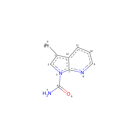 CC(C)c1cn(C(N)=O)c2ncccc12